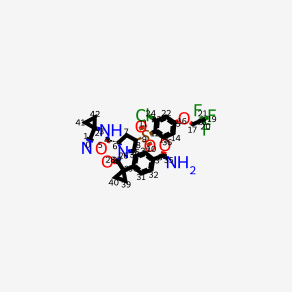 N#CC1(NC(=O)[C@@H]2C[C@@H](S(=O)(=O)c3ccc(OCC(F)(F)F)cc3Cl)CN2C(=O)C2(c3ccc(C(N)=O)cc3)CC2)CC1